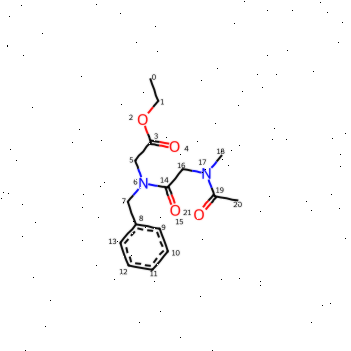 CCOC(=O)CN(Cc1ccccc1)C(=O)CN(C)C(C)=O